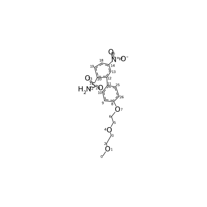 COCCOCCOc1ccc(-c2cc([N+](=O)[O-])ccc2S(N)(=O)=O)cc1